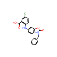 O=C(O)c1cc(Cl)ccc1Nc1ccc2c(c1)oc(=O)n2Cc1ccccc1